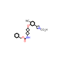 N#Cc1ccc(C2CN(C(=O)O)C2)cc1OC1CC2(CC(NC(=O)OCc3ccccc3)C2)C1